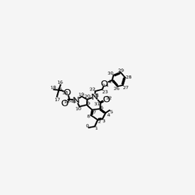 CCc1cc(C)c2c(c1)C1CN(C(=O)OC(C)(C)C)CC1N(CCOc1ccccc1)C2=O